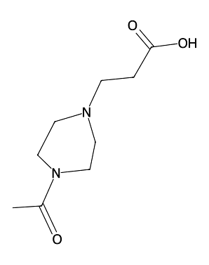 CC(=O)N1CCN(CCC(=O)O)CC1